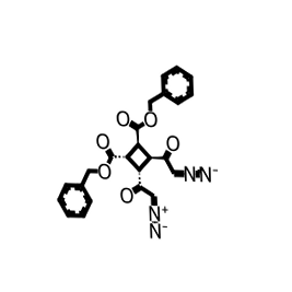 [N-]=[N+]=CC(=O)[C@H]1[C@H](C(=O)C=[N+]=[N-])[C@H](C(=O)OCc2ccccc2)[C@H]1C(=O)OCc1ccccc1